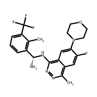 Cc1c([C@@H](N)Nc2nnc(C)c3cc(F)c(N4CCOCC4)cc23)cccc1C(F)(F)F